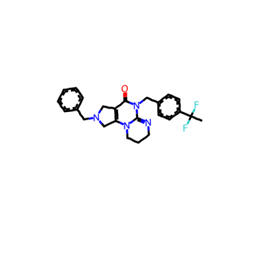 CC(F)(F)c1ccc(CN2C(=O)C3=C(CN(Cc4ccccc4)C3)N3CCCN=C23)cc1